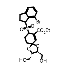 CCOC(=O)C1=CC2(CCC1S(=O)(=O)C1CCc3cccc(Br)c31)O[C@@H](CO)[C@H](CO)O2